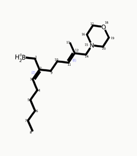 BC/C(=C/CCCCC)CC/C=C(\C)CN1CCOCC1